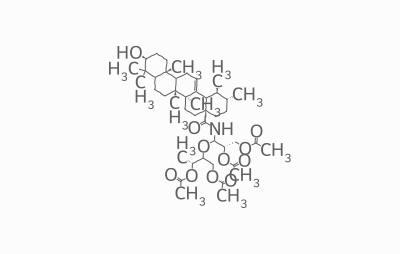 CC(=O)OCC(OC(NC(=O)[C@]12CC[C@@H](C)[C@H](C)C1C1=CCC3[C@@]4(C)CC[C@H](O)C(C)(C)C4CC[C@@]3(C)[C@]1(C)CC2)[C@H](COC(C)=O)OC(C)=O)[C@@H](C)OC(C)=O